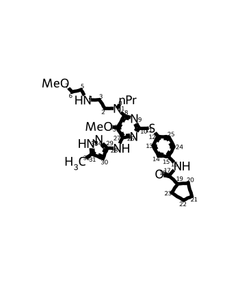 CCCN(CCNCCOC)c1nc(Sc2ccc(NC(=O)C3CCCC3)cc2)nc(Nc2cc(C)[nH]n2)c1OC